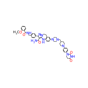 COc1ccccc1C(=O)NCc1ccc(-c2nn3c(c2C(N)=O)Nc2ccc(N4CCN(CC5CCN(c6ccc(N7CCC(=O)NC7=O)cc6)CC5)CC4)cc2CC3)cc1